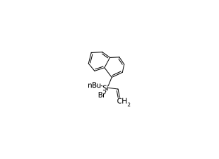 C=C[Si](Br)(CCCC)c1cccc2ccccc12